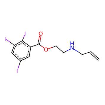 C=CCNCCOC(=O)c1cc(I)cc(I)c1I